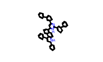 C1=C(C2=NC(c3cccc(-c4ccccc4)c3)=CC(c3cccc4c5c(ccc34)NC(c3ccccc3)C=C5c3ccccc3)N2)C=C(c2ccccc2)CC1